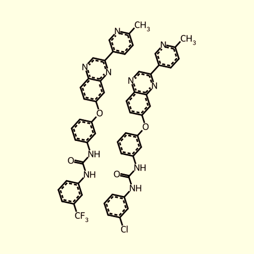 Cc1ccc(-c2cnc3ccc(Oc4cccc(NC(=O)Nc5cccc(C(F)(F)F)c5)c4)cc3n2)cn1.Cc1ccc(-c2cnc3ccc(Oc4cccc(NC(=O)Nc5cccc(Cl)c5)c4)cc3n2)cn1